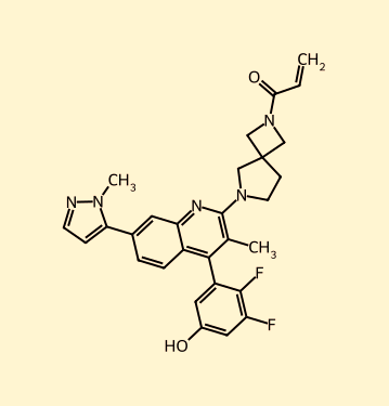 C=CC(=O)N1CC2(CCN(c3nc4cc(-c5ccnn5C)ccc4c(-c4cc(O)cc(F)c4F)c3C)C2)C1